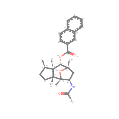 CCC(=O)N[C@@H]1C[C@]2(C(C)C)O[C@@]1(C)[C@@H]1CC[C@@H](C)[C@H]1[C@@H]2OC(=O)c1ccc2ccccc2c1